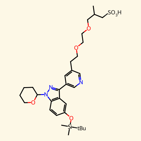 CC(COCCOCCc1cncc(-c2nn(C3CCCCO3)c3ccc(O[Si](C)(C)C(C)(C)C)cc23)c1)CS(=O)(=O)O